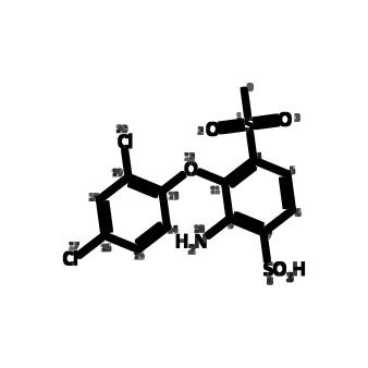 CS(=O)(=O)c1ccc(S(=O)(=O)O)c(N)c1Oc1ccc(Cl)cc1Cl